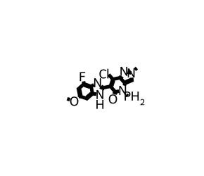 COc1cc(F)c2nc(-c3c(Cl)c4nn(C)cc4n(P)c3=O)[nH]c2c1